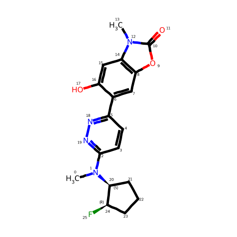 CN(c1ccc(-c2cc3oc(=O)n(C)c3cc2O)nn1)[C@H]1CCC[C@H]1F